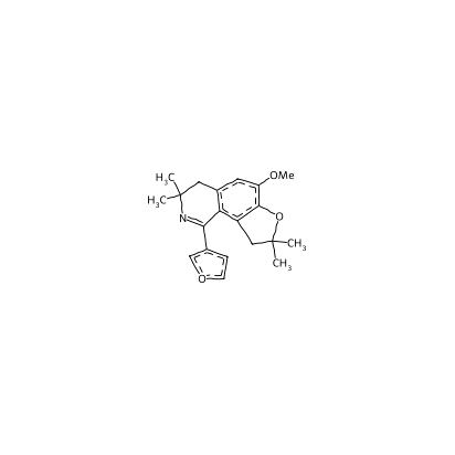 COc1cc2c(c3c1OC(C)(C)C3)C(c1ccoc1)=NC(C)(C)C2